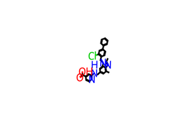 Cc1cc(CNc2cc(C(=O)O)ccn2)cc2c1nc(C)n2Cc1ccc(-c2ccccc2)cc1Cl